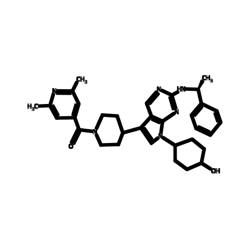 Cc1cc(C(=O)N2CCC(c3cn(C4CCC(O)CC4)c4nc(N[C@@H](C)c5ccccc5)ncc34)CC2)cc(C)n1